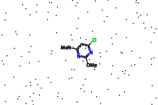 CNc1cc(Cl)nc(OC)n1